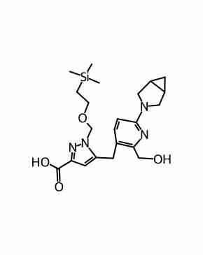 C[Si](C)(C)CCOCn1nc(C(=O)O)cc1Cc1ccc(N2CC3CC3C2)nc1CO